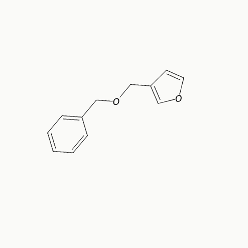 c1ccc(COCc2ccoc2)cc1